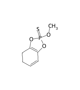 COP1(=S)OC2=C(CCC=C2)O1